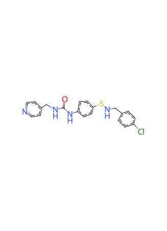 O=C(NCc1ccncc1)Nc1ccc(SNCc2ccc(Cl)cc2)cc1